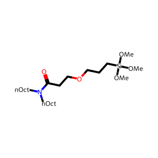 CCCCCCCCN(CCCCCCCC)C(=O)CCOCCC[Si](OC)(OC)OC